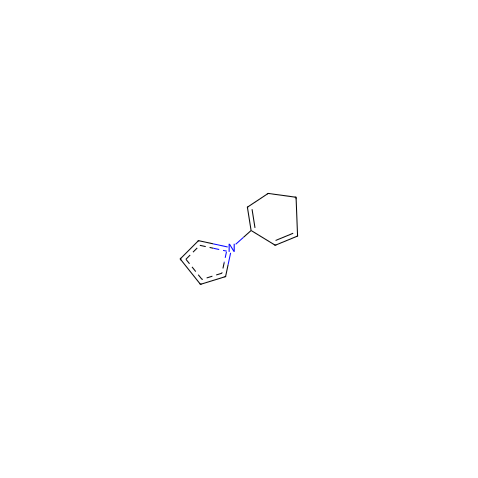 C1=CC(n2cccc2)=CCC1